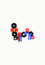 O=C1CC[C@@H](C(=O)N2CCC(NS(=O)(=O)c3cc(S(=O)(=O)c4ccccc4)ccc3C(F)(F)F)CC2)N1